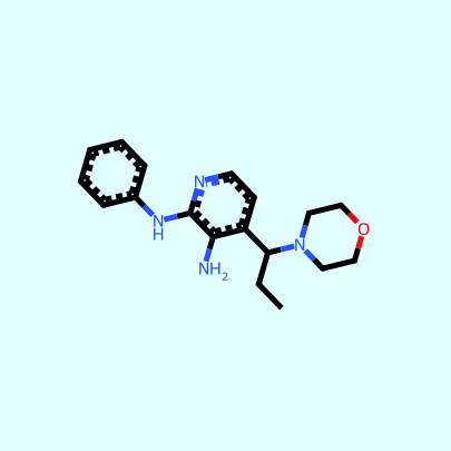 CCC(c1ccnc(Nc2ccccc2)c1N)N1CCOCC1